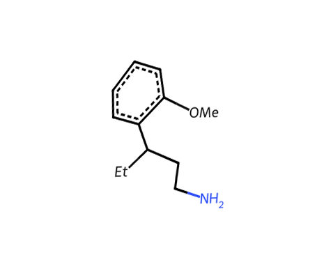 CCC(CCN)c1ccccc1OC